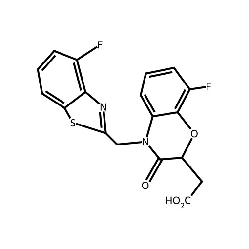 O=C(O)CC1Oc2c(F)cccc2N(Cc2nc3c(F)cccc3s2)C1=O